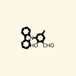 Cc1cc(C=O)c(O)c(-n2c3ccccc3c3ccccc32)c1